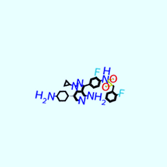 Nc1ncc([C@H]2CC[C@H](N)CC2)c2c1c(-c1ccc(NS(=O)(=O)Cc3ccccc3F)c(F)c1)nn2C1CC1